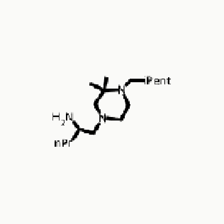 CCCC(C)CN1CCN(CC(N)CCC)CC1(C)C